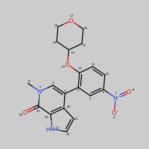 Cn1cc(-c2cc([N+](=O)[O-])ccc2OC2CCOCC2)c2cc[nH]c2c1=O